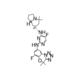 CC1(C)Oc2c(F)cc(Nc3ncc(F)c(NC[C@@H]4C[C@@H]5CCCN5C(C)(C)C4)n3)cc2-n2nnnc21